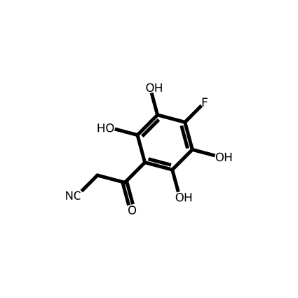 N#CCC(=O)c1c(O)c(O)c(F)c(O)c1O